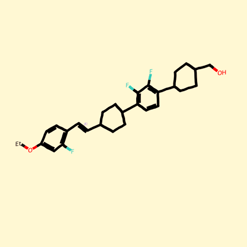 CCOc1ccc(/C=C/C2CCC(c3ccc(C4CCC(CO)CC4)c(F)c3F)CC2)c(F)c1